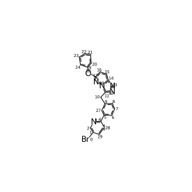 BrC1=CN=C(c2cccc(Cc3nnc4ccc(Oc5ccccc5)nn34)c2)I=C1